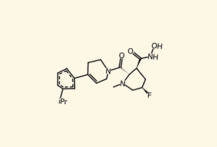 CC(C)c1cccc(C2=CCN(C(=O)[C@@H]3[C@@H](C(=O)NO)C[C@@H](F)CN3C)CC2)c1